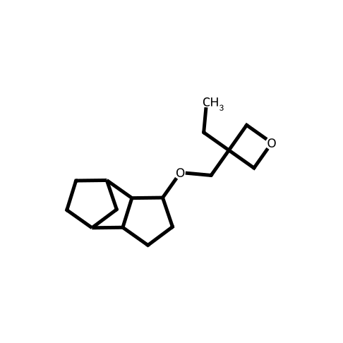 CCC1(COC2CCC3C4CCC(C4)C23)COC1